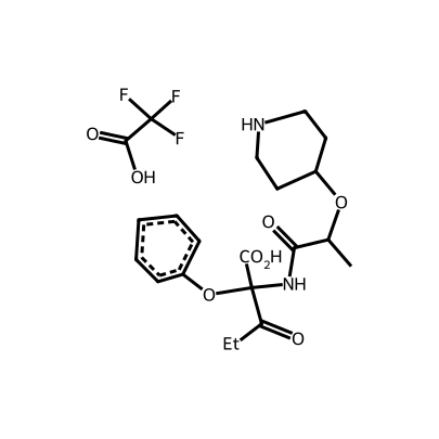 CCC(=O)C(NC(=O)C(C)OC1CCNCC1)(Oc1ccccc1)C(=O)O.O=C(O)C(F)(F)F